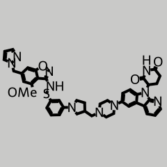 COc1cc(Cn2cccn2)cc2onc(NSc3cccc(N4CCC(CN5CCN(c6ccc7c(c6)c6cccnc6n7C6CCC(=O)NC6=O)CC5)C4)c3)c12